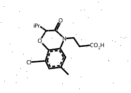 Cc1cc(Cl)c2c(c1)N(CCC(=O)O)C(=O)C(C(C)C)O2